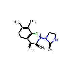 C=C(NN1CCNC1=C)C(=C)C1=C(Cl)C(C)=C(C)CC1